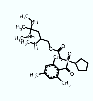 CNC(COC(=O)CP(=O)(C(=O)c1c(C)cc(C)cc1C)C1CCCC1)CC(C)(NC)NC